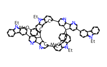 CCn1c2ccccc2c2cc(-c3cnc4c(c3)[C@]3(c5ccc(OC)cc5)c5ccc6c(c5)c5cc(ccc5n6CC)-c5cnc6c(c5)[C@](c5ccc(OC)cc5)(c5ccc7c(c5)c5cc(ccc5n7CC)-c5cnc-4c3c5)c3cc(-c4ccc5c(c4)c4ccccc4n5CC)cnc3-6)ccc21